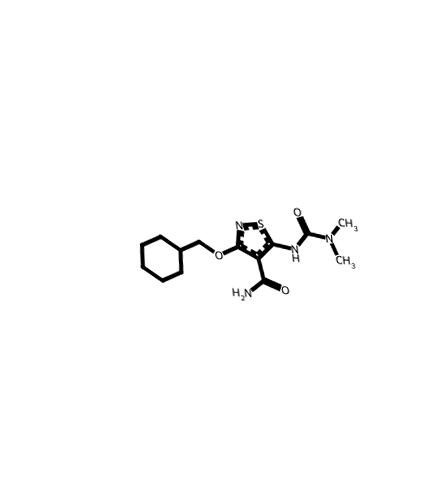 CN(C)C(=O)Nc1snc(OCC2CCCCC2)c1C(N)=O